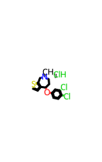 CN1CCC(Oc2ccc(Cl)c(Cl)c2)c2ccsc2C1.Cl